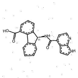 O=C(O)c1cccc2c1-c1ccccc1[C@@H]2NC(=O)c1ccnc2[nH]ccc12